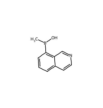 CB(O)c1cccc2ccncc12